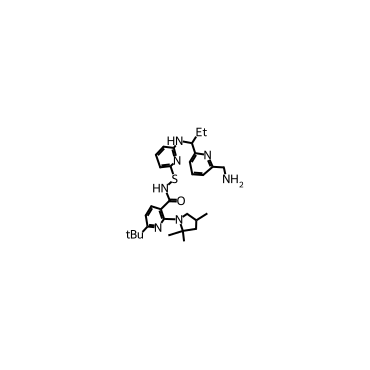 CCC(Nc1cccc(SNC(=O)c2ccc(C(C)(C)C)nc2N2CC(C)CC2(C)C)n1)c1cccc(CN)n1